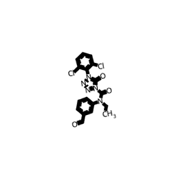 CCN(C(=O)n1nnn(-c2c(Cl)cccc2Cl)c1=O)c1cccc(C=O)c1